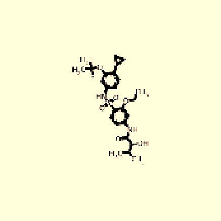 CCOc1cc(NC(=O)[C@@H](O)C(C)C)ccc1S(=O)(=O)Nc1ccc(C2CC2)c(OC(C)(F)P)c1